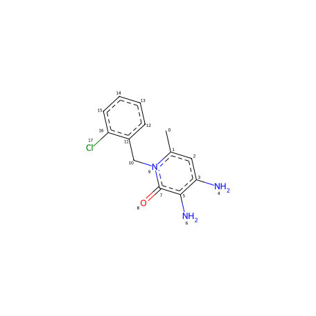 Cc1cc(N)c(N)c(=O)n1Cc1ccccc1Cl